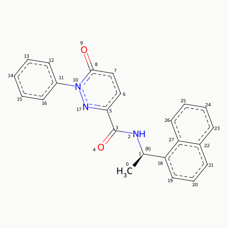 C[C@@H](NC(=O)c1ccc(=O)n(-c2ccccc2)n1)c1cccc2ccccc12